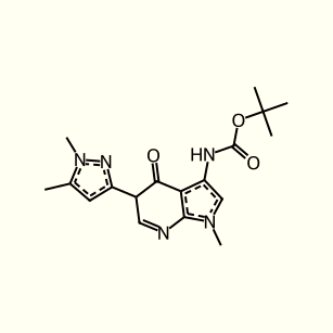 Cc1cc(C2C=Nc3c(c(NC(=O)OC(C)(C)C)cn3C)C2=O)nn1C